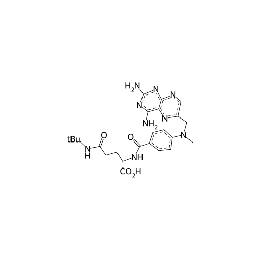 CN(Cc1cnc2nc(N)nc(N)c2n1)c1ccc(C(=O)N[C@@H](CCC(=O)NC(C)(C)C)C(=O)O)cc1